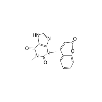 Cn1c(=O)c2[nH]cnc2n(C)c1=O.O=c1ccc2ccccc2o1